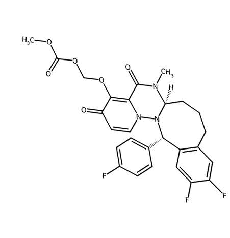 COC(=O)OCOc1c2n(ccc1=O)N1[C@@H](c3ccc(F)cc3)c3cc(F)c(F)cc3CCC[C@@H]1N(C)C2=O